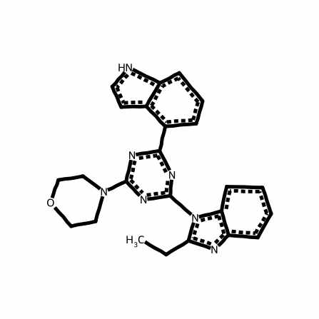 CCc1nc2ccccc2n1-c1nc(-c2cccc3[nH]ccc23)nc(N2CCOCC2)n1